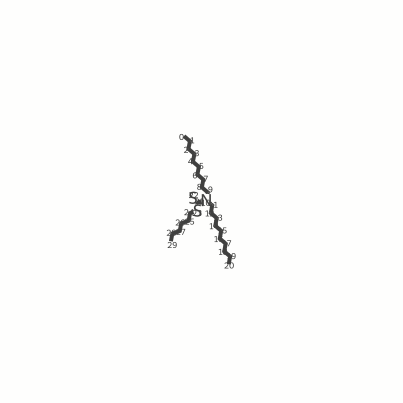 CCCCCCCCCCN(CCCCCCCCCC)C(=S)SCCCCCC